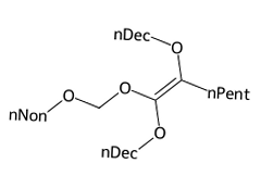 CCCCCCCCCCOC(CCCCC)=C(OCCCCCCCCCC)OCOCCCCCCCCC